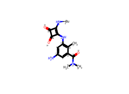 CC[C@H](C)Nc1c(Nc2cc(N)cc(C(=O)N(C)C)c2C)c(=O)c1=O